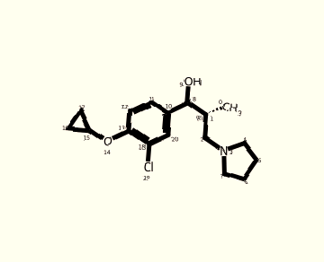 C[C@H](CN1CCCC1)C(O)c1ccc(OC2CC2)c(Cl)c1